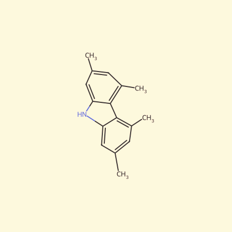 Cc1cc(C)c2c(c1)[nH]c1cc(C)cc(C)c12